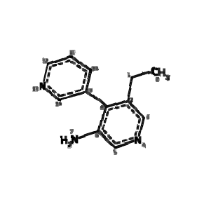 CCc1cncc(N)c1-c1cccnc1